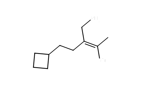 CCC/C(C)=C(/CP)CCC1CCC1